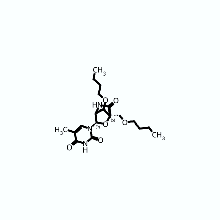 CCCCOC[C@@]12O[C@@H](n3cc(C)c(=O)[nH]c3=O)C(NC1=O)C2OCCCC